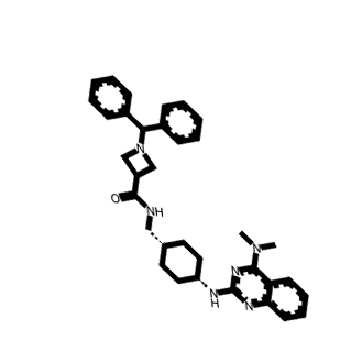 CN(C)c1nc(N[C@H]2CC[C@@H](CNC(=O)C3CN(C(c4ccccc4)c4ccccc4)C3)CC2)nc2ccccc12